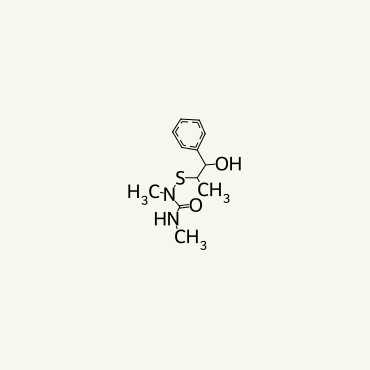 CNC(=O)N(C)SC(C)C(O)c1ccccc1